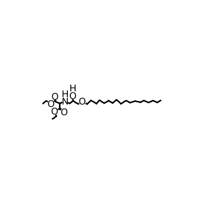 CCCCCCCCCCCCCCCCCCOCC(O)CNC(C(=O)OCC)C(=O)OCC